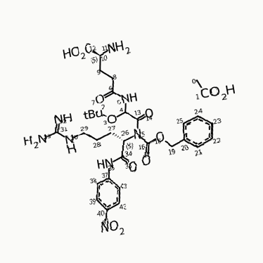 CC(=O)O.CC(C)(C)OC(NC(=O)CC[C@H](N)C(=O)O)C(=O)N(C(=O)OCc1ccccc1)[C@@H](CCCNC(=N)N)C(=O)Nc1ccc([N+](=O)[O-])cc1